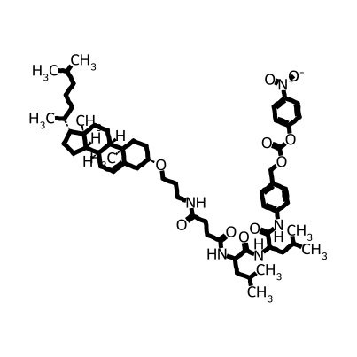 CC(C)CCCC(C)[C@H]1CC[C@H]2[C@@H]3CC=C4C[C@@H](OCCCNC(=O)CCC(=O)NC(CC(C)C)C(=O)NC(CC(C)C)C(=O)Nc5ccc(COC(=O)Oc6ccc([N+](=O)[O-])cc6)cc5)CC[C@]4(C)[C@H]3CC[C@]12C